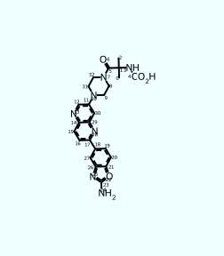 CC(C)(NC(=O)O)C(=O)N1CCN(c2cnc3ccc(-c4ccc5oc(N)nc5c4)nc3c2)CC1